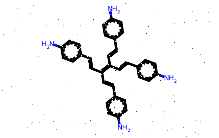 Nc1ccc(C=CC(C=Cc2ccc(N)cc2)=C(C=Cc2ccc(N)cc2)C=Cc2ccc(N)cc2)cc1